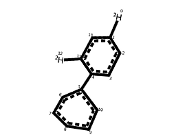 [2H]c1ccc(-c2ccccc2)c([2H])c1